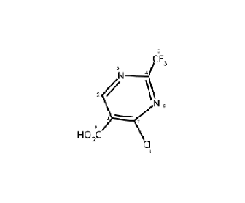 O=C(O)c1cnc(C(F)(F)F)nc1Cl